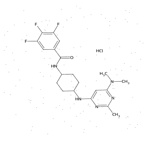 Cc1nc(NC2CCC(NC(=O)c3cc(F)c(F)c(F)c3)CC2)cc(N(C)C)n1.Cl